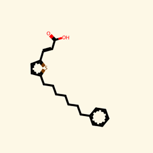 O=C(O)C=Cc1ccc(CCCCCCCc2ccccc2)s1